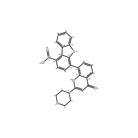 O=c1cc(N2CCOCC2)oc2c(-c3ccc([N+](=O)[O-])c4c3sc3ccccc34)cccc12